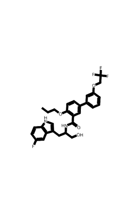 CCCOc1ccc(-c2cccc(OCC(F)(F)F)c2)cc1C(=O)NC(CO)Cc1c[nH]c2ccc(F)cc12